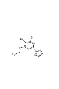 CCC(C)c1c(Cl)nc(-n2cccn2)nc1NCC(F)(F)F